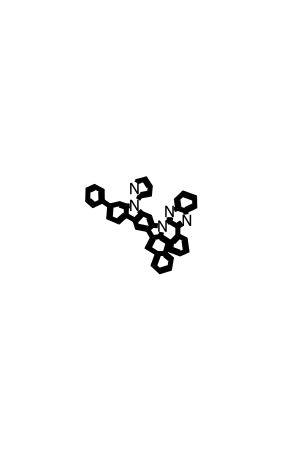 c1ccc(-c2ccc3c4cc5c6cc7ccccc7cc6n(-c6nc7ccccc7nc6-c6ccccc6)c5cc4n(-c4ccccn4)c3c2)cc1